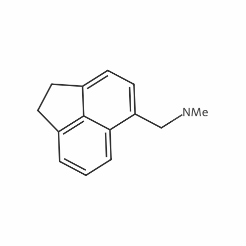 CNCc1ccc2c3c(cccc13)CC2